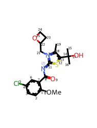 COc1ccc(Cl)cc1C(=O)/N=c1\sc(C(C)(C)O)c(C)n1CC1CCO1